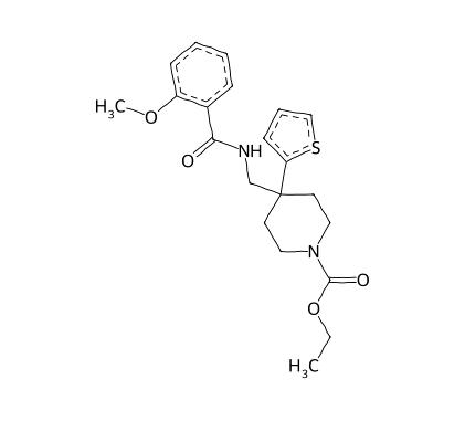 CCOC(=O)N1CCC(CNC(=O)c2ccccc2OC)(c2cccs2)CC1